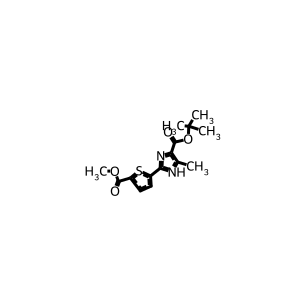 COC(=O)c1ccc(-c2nc(C(=O)OC(C)(C)C)c(C)[nH]2)s1